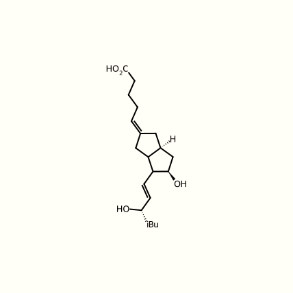 CCC(C)[C@H](O)/C=C/C1C2C/C(=C/CCCC(=O)O)C[C@H]2C[C@H]1O